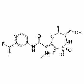 C[C@@H]1Oc2c(cn(C)c2C(=O)Nc2ccnc(C(F)F)c2)S(=O)(=O)N[C@@H]1CO